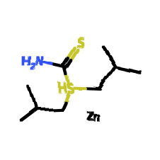 CC(C)C[SH](CC(C)C)C(N)=S.[Zn]